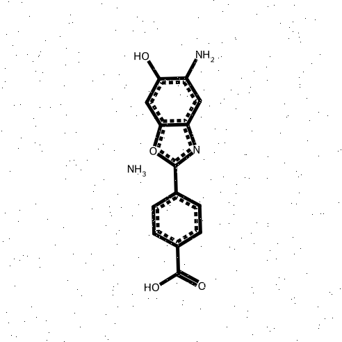 N.Nc1cc2nc(-c3ccc(C(=O)O)cc3)oc2cc1O